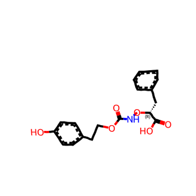 O=C(NO[C@H](Cc1ccccc1)C(=O)O)OCCc1ccc(O)cc1